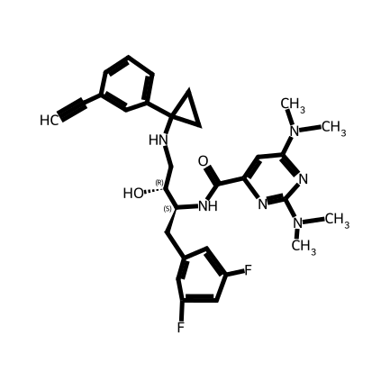 C#Cc1cccc(C2(NC[C@@H](O)[C@H](Cc3cc(F)cc(F)c3)NC(=O)c3cc(N(C)C)nc(N(C)C)n3)CC2)c1